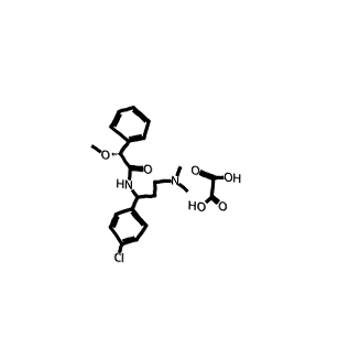 CO[C@@H](C(=O)NC(CCN(C)C)c1ccc(Cl)cc1)c1ccccc1.O=C(O)C(=O)O